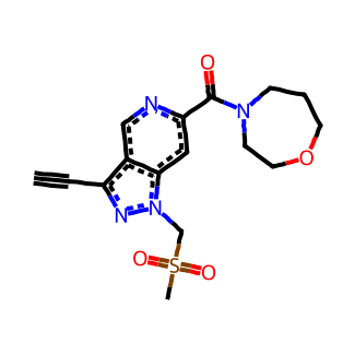 C#Cc1nn(CS(C)(=O)=O)c2cc(C(=O)N3CCCOCC3)ncc12